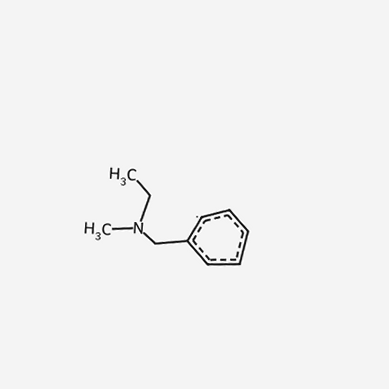 CCN(C)Cc1[c]cccc1